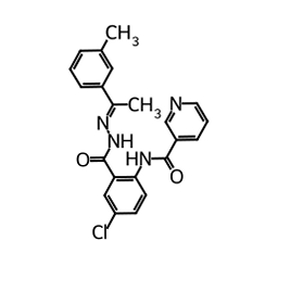 CC(=NNC(=O)c1cc(Cl)ccc1NC(=O)c1cccnc1)c1cccc(C)c1